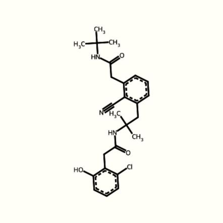 CC(C)(C)NC(=O)Cc1cccc(CC(C)(C)NC(=O)Cc2c(O)cccc2Cl)c1C#N